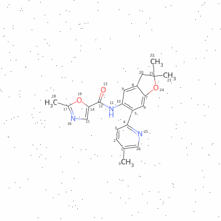 Cc1ccc(-c2cc3c(cc2NC(=O)c2cnc(C)o2)CC(C)(C)O3)nc1